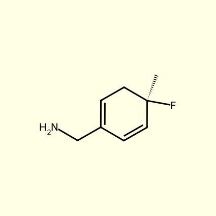 C[C@]1(F)C=CC(CN)=CC1